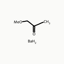 COCC(C)=O.[BaH2]